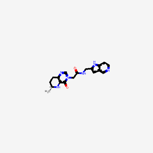 C[C@@H]1CCc2ncn(CC(=O)NCc3cc4cnccc4[nH]3)c(=O)c2N1